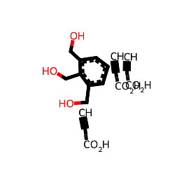 C#CC(=O)O.C#CC(=O)O.C#CC(=O)O.OCc1cccc(CO)c1CO